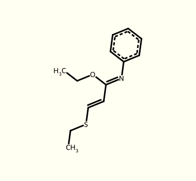 CCOC(C=CSCC)=Nc1ccccc1